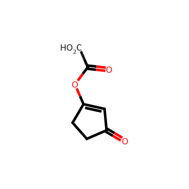 O=C1C=C(OC(=O)C(=O)O)CC1